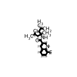 C=C(C)CC(C)(CC(=C)C)NC(=O)c1cnc2c(F)cccc2c1